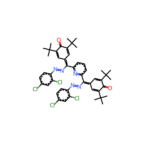 CC(C)(C)C1=CC(=C(/N=N/c2ccc(Cl)cc2Cl)c2cccc(C(/N=N/c3ccc(Cl)cc3Cl)=C3C=C(C(C)(C)C)C(=O)C(C(C)(C)C)=C3)n2)C=C(C(C)(C)C)C1=O